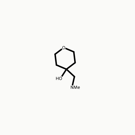 CNCC1(O)CCOCC1